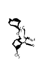 CCSC(=N)N(C=O)c1cc(C)ccc1COCc1ccccc1